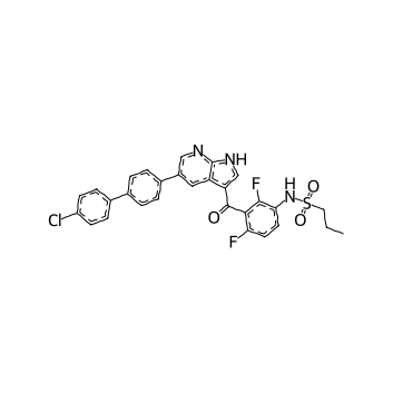 CCCS(=O)(=O)Nc1ccc(F)c(C(=O)c2c[nH]c3ncc(-c4ccc(-c5ccc(Cl)cc5)cc4)cc23)c1F